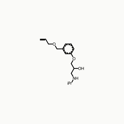 C=CCOCc1cccc(OCC(O)CNC(C)C)c1